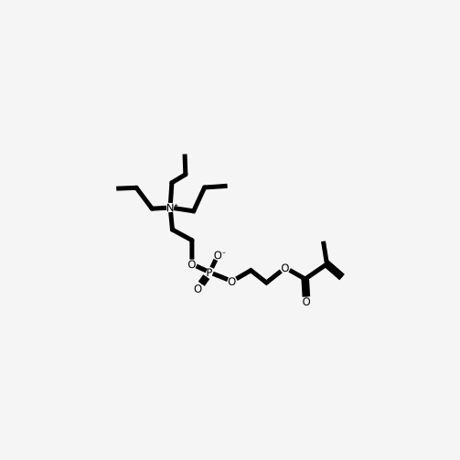 C=C(C)C(=O)OCCOP(=O)([O-])OCC[N+](CCC)(CCC)CCC